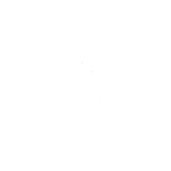 C=CC(=O)OCC1C(CO)CC2C3CCC(C3)C12